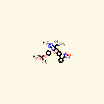 CCCc1c(Cc2ccc(-c3ccccc3-c3noc(=O)[nH]3)cc2)c(=O)n([C@H]2CC[C@H](OCC(O)(CC)CC)CC2)c2nc(C)nn12.[KH]